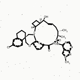 C[C@@H]1[C@@H](C)C/C=C/[C@H](O)[C@@H]2CC[C@H]2CN2C[C@@]3(CCCc4cc(Cl)ccc43)COc3ccc(cc32)C(=O)N=S1(=O)Nc1ncnc2nn(C)cc12